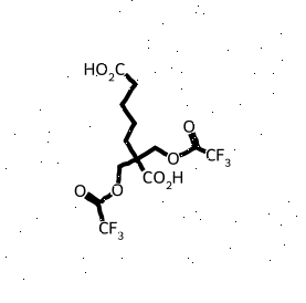 O=C(O)CCCCC(COC(=O)C(F)(F)F)(COC(=O)C(F)(F)F)C(=O)O